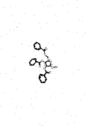 CO[C@@H]1O[C@H](COC(=O)c2ccccc2)[C@H](OC(=O)c2ccccc2)[C@@H]1OC(=O)c1ccccc1